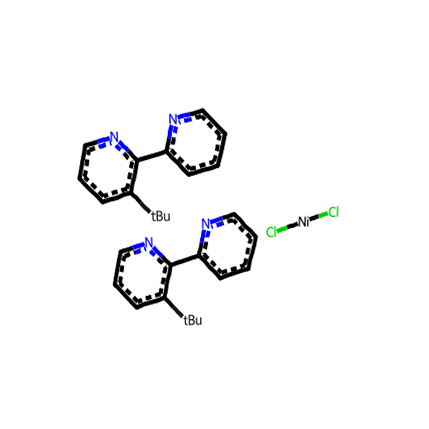 CC(C)(C)c1cccnc1-c1ccccn1.CC(C)(C)c1cccnc1-c1ccccn1.[Cl][Ni][Cl]